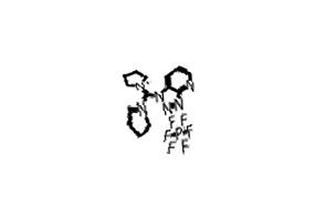 F[P-](F)(F)(F)(F)F.c1cnc2nnn(C(N3CCCC3)=[N+]3CCCC3)c2c1